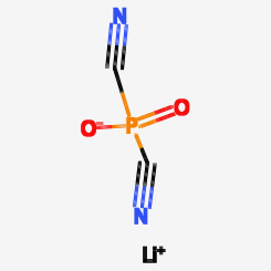 N#CP(=O)([O-])C#N.[Li+]